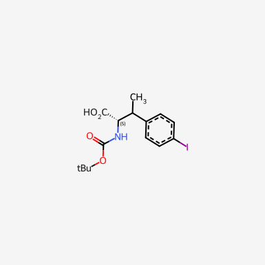 CC(c1ccc(I)cc1)[C@H](NC(=O)OC(C)(C)C)C(=O)O